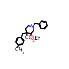 CCOC(=O)C1(Cc2ccc(C)cc2)CCN(Cc2ccccc2)CC1=O